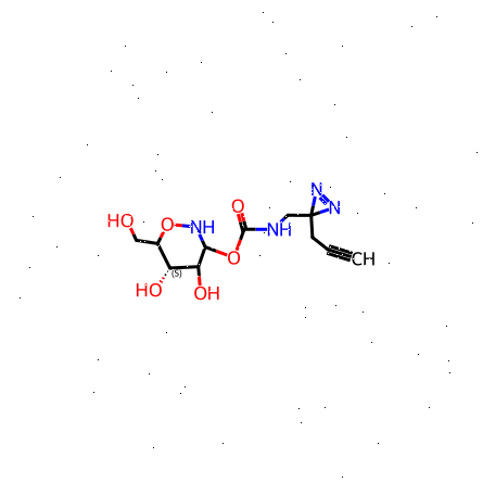 C#CCC1(CNC(=O)OC2NOC(CO)[C@@H](O)C2O)N=N1